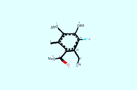 COC(=O)c1c(C)c(OC)c(OC)c(F)c1CC#N